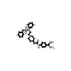 N=C(N)c1ccc(NC(=O)CC2CCN(CCN(c3ccccc3)S(=O)(=O)Cc3ccccc3)CC2)cc1